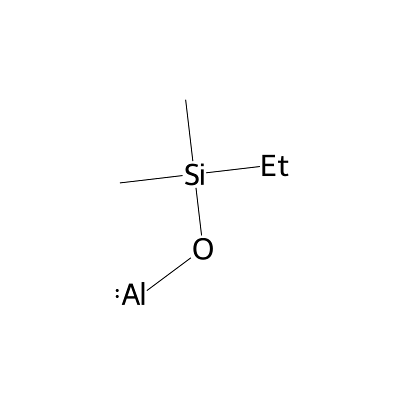 CC[Si](C)(C)[O][Al]